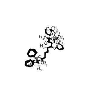 CC(CCC[C@H](C)C(OC1CCCCO1)[C@@H](CC[Si](C)(C)C)C(=O)C(C)(C)[C@@H]1CCOC(C)(C)O1)O[Si](c1ccccc1)(c1ccccc1)C(C)(C)C